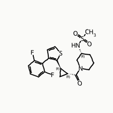 CS(=O)(=O)N[C@@H]1CCCN(C(=O)[C@@H]2C[C@H]2c2sccc2-c2c(F)cccc2F)C1